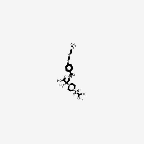 COCCOCOc1ccc(C(=O)NC[C@@](C)(C(=O)O)N2CCN(S(=O)(=O)C(C)C)CC2)cc1